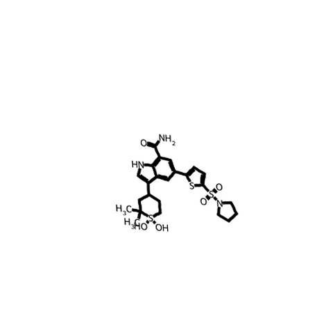 CC1(C)CC(c2c[nH]c3c(C(N)=O)cc(-c4ccc(S(=O)(=O)N5CCCC5)s4)cc23)CCS1(O)O